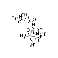 CN(C(=O)N(C)[C@@H]1CN(C(=O)[C@H]2CC[C@H](C(=O)N(C)C)CC2)C[C@H]1c1ccc(F)cc1)c1cc(C(F)(F)F)cc(C(F)(F)F)c1